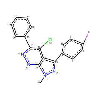 Cn1nc(-c2ccc(I)cc2)c2c(Cl)c(-c3ccccc3)nnc21